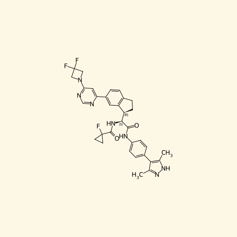 Cc1n[nH]c(C)c1-c1ccc(NC(=O)[C@@H](NC(=O)C2(F)CC2)[C@@H]2CCc3ccc(-c4cc(N5CC(F)(F)C5)ncn4)cc32)cc1